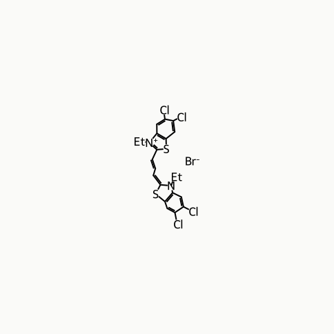 CCN1C(=CC=Cc2sc3cc(Cl)c(Cl)cc3[n+]2CC)Sc2cc(Cl)c(Cl)cc21.[Br-]